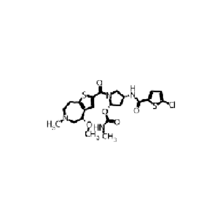 CNC(=O)O[C@H]1C[C@@H](NC(=O)c2ccc(Cl)s2)CN1C(=O)c1cc2c(s1)CCN(C)C[C@H]2OC